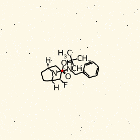 CC(C)(C)OC(=O)N1[C@@H]2CC[C@H]1[C@H](F)[C@H](NCc1ccccc1)C2